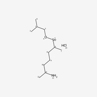 CC(C)C[O][Sn][CH](C)CCCC(C)N.Cl